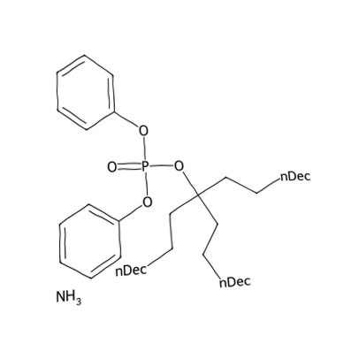 CCCCCCCCCCCCC(CCCCCCCCCCCC)(CCCCCCCCCCCC)OP(=O)(Oc1ccccc1)Oc1ccccc1.N